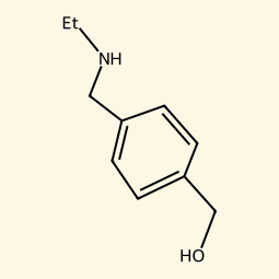 CCNCc1ccc(CO)cc1